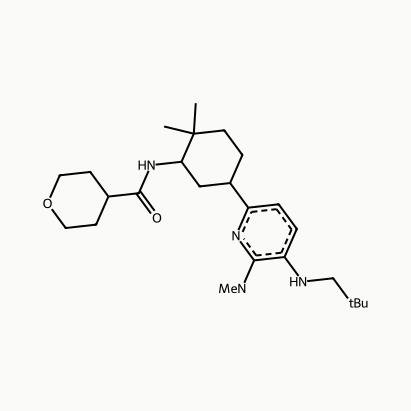 CNc1nc(C2CCC(C)(C)C(NC(=O)C3CCOCC3)C2)ccc1NCC(C)(C)C